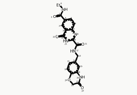 CCNC(=O)c1ccc2nc(C(=O)NCc3ccc4c(c3)NC(=O)CO4)[nH]c(=O)c2c1